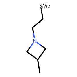 CSCCN1CC(C)C1